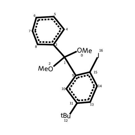 COC(OC)(c1ccccc1)c1cc(C(C)(C)C)ccc1I